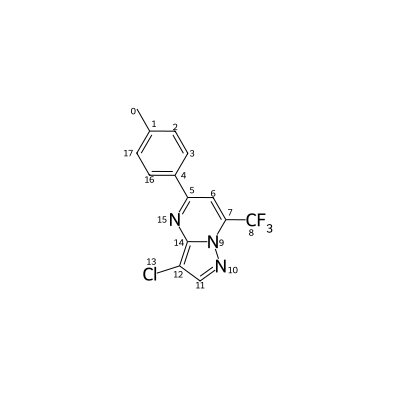 Cc1ccc(-c2cc(C(F)(F)F)n3ncc(Cl)c3n2)cc1